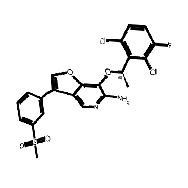 C[C@@H](Oc1c(N)ncc2c(-c3cccc(S(C)(=O)=O)c3)coc12)c1c(Cl)ccc(F)c1Cl